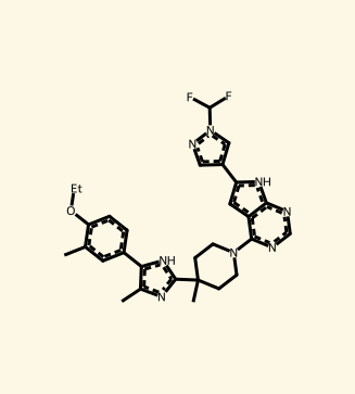 CCOc1ccc(-c2[nH]c(C3(C)CCN(c4ncnc5[nH]c(-c6cnn(C(F)F)c6)cc45)CC3)nc2C)cc1C